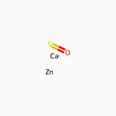 O=S.[Ca].[Zn]